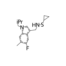 Cc1cc2c(cc1F)c(CNSC1CC1)cn2CC(C)C